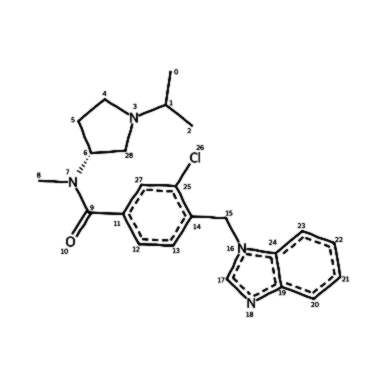 CC(C)N1CC[C@@H](N(C)C(=O)c2ccc(Cn3cnc4ccccc43)c(Cl)c2)C1